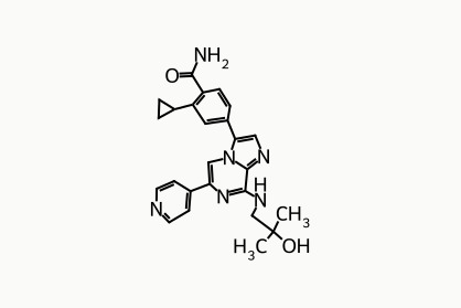 CC(C)(O)CNc1nc(-c2ccncc2)cn2c(-c3ccc(C(N)=O)c(C4CC4)c3)cnc12